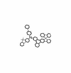 CC1(C)c2ccccc2-c2ccc(N(c3ccc(-c4ccccc4)cc3)c3ccc4c(c3)c3ccccc3c3cc5c(cc43)C3(c4ccccc4-c4ccccc43)c3ccccc3-5)cc21